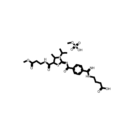 COC(=O)CCNC(=O)C1SC(=NC(=O)c2ccc(C(=N)NCCCC(=O)O)cc2)N(C(C)C)C1C.COS(=O)(=O)O